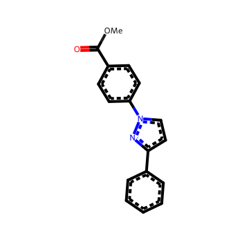 COC(=O)c1ccc(-n2ccc(-c3ccccc3)n2)cc1